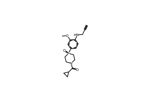 C#CCNc1ccc(P2(=O)CCN(C(=O)C3CC3)CC2)cc1OC